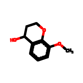 COc1cccc2c1OCCC2O